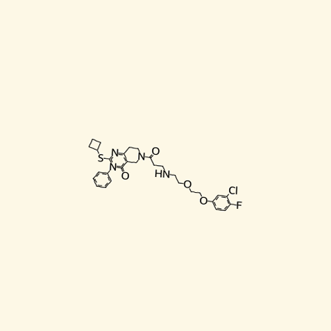 O=C(CCNCCOCCOc1ccc(F)c(Cl)c1)N1CCc2nc(SC3CCC3)n(-c3ccccc3)c(=O)c2C1